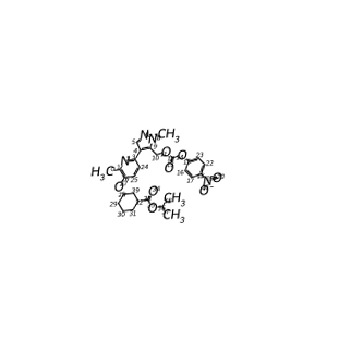 Cc1nc(-c2cnn(C)c2COC(=O)Oc2ccc([N+](=O)[O-])cc2)ccc1O[C@H]1CCC[C@H](C(=O)OC(C)C)C1